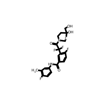 Cc1cc(NC(=O)c2ccc(F)c(C(F)(F)C(=O)N3CCC(O)(CO)CC3)c2)ccc1F